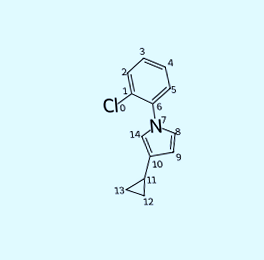 Clc1ccccc1-n1ccc(C2CC2)c1